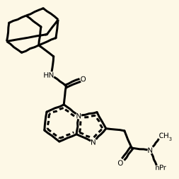 CCCN(C)C(=O)Cc1cn2c(C(=O)NCC34CC5CC(CC(C5)C3)C4)cccc2n1